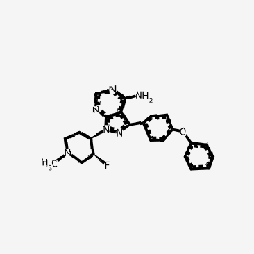 CN1CC[C@@H](n2nc(-c3ccc(Oc4ccccc4)cc3)c3c(N)ncnc32)[C@@H](F)C1